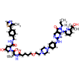 C=CCn1c(=O)c2cnc(Nc3ccc(N4CCN(CCOCCCCC(=O)N[C@H](C(=O)N5CC(O)CC5C(=O)NCc5ccc(-c6scnc6C)cc5)C(C)(C)C)CC4)cc3)nc2n1-c1cccc(C(C)(C)O)n1